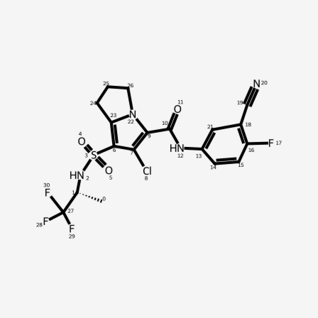 C[C@@H](NS(=O)(=O)c1c(Cl)c(C(=O)Nc2ccc(F)c(C#N)c2)n2c1CCC2)C(F)(F)F